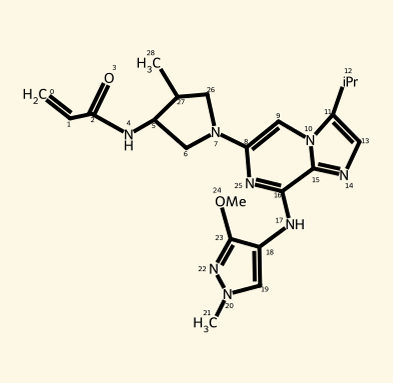 C=CC(=O)NC1CN(c2cn3c(C(C)C)cnc3c(Nc3cn(C)nc3OC)n2)CC1C